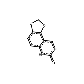 O=c1ncc2c3c(ccc2[nH]1)OCO3